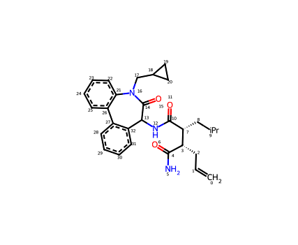 C=CC[C@H](C(N)=O)[C@@H](CC(C)C)C(=O)NC1C(=O)N(CC2CC2)c2ccccc2-c2ccccc21